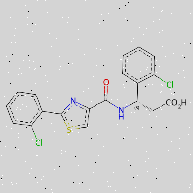 O=C(O)C[C@H](NC(=O)c1csc(-c2ccccc2Cl)n1)c1ccccc1Cl